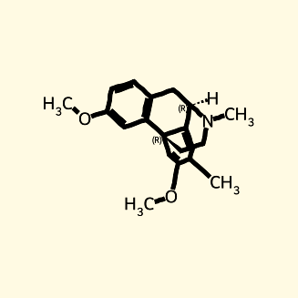 COC1=C[C@]23CCN(C)[C@H](Cc4ccc(OC)cc42)C3=CC1C